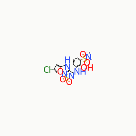 CN(C)S(=O)(=O)c1cccc(NC2=NS(=O)(=O)N=C2NCc2cc(Cl)co2)c1O